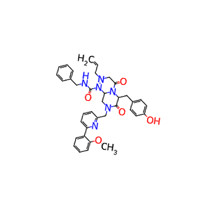 C=CCN1CC(=O)N2C(Cc3ccc(O)cc3)C(=O)N(Cc3cccc(-c4ccccc4OC)n3)CC2N1C(=O)NCc1ccccc1